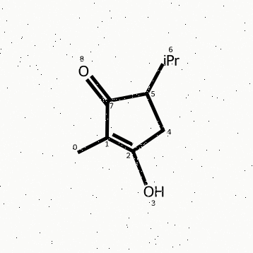 CC1=C(O)CC(C(C)C)C1=O